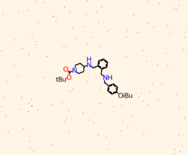 CC(C)COc1ccc(CNCc2ccccc2CNC2CCN(C(=O)OC(C)(C)C)CC2)cc1